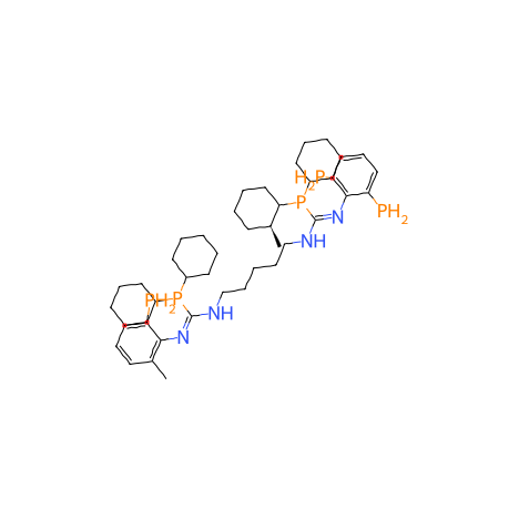 Cc1cccc(P)c1/N=C(/NCCCCCN/C(=N/c1c(P)cccc1P)P(C1CCCCC1)C1CCCC[C@@H]1C)P(C1CCCCC1)C1CCCCC1